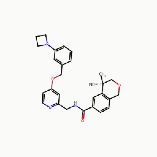 C[C@@]1(C#N)COCc2ccc(C(=O)NCc3cc(OCc4cccc(N5CCC5)c4)ccn3)cc21